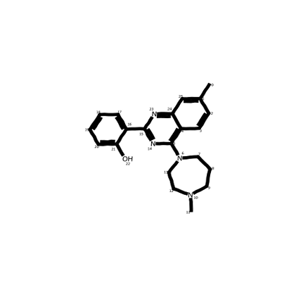 Cc1ccc2c(N3CCCN(C)CC3)nc(-c3ccccc3O)nc2c1